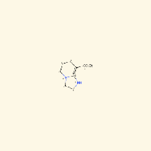 CCOC(=O)C1=C2NCCN2CCC1